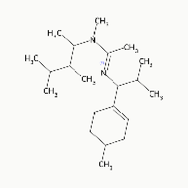 C/C(=N\C(C1=CCC(C)CC1)C(C)C)N(C)C(C)C(C)C(C)C